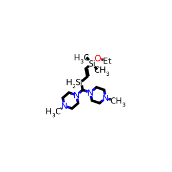 CCO[Si](C)(C)C=C[SiH2]C(N1CCN(C)CC1)N1CCN(C)CC1